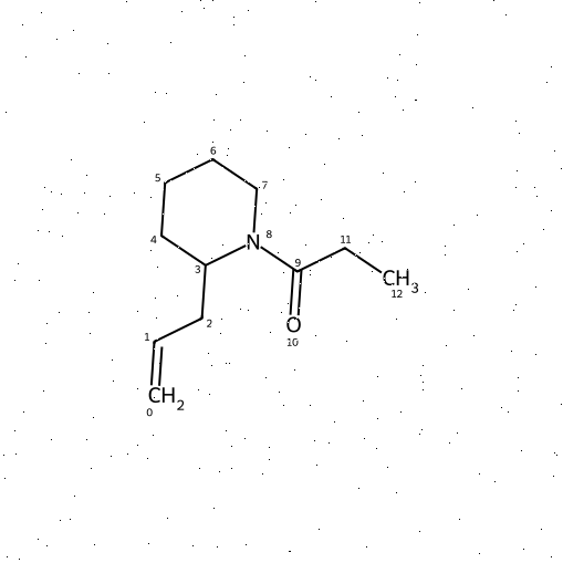 C=CCC1CCCCN1C(=O)CC